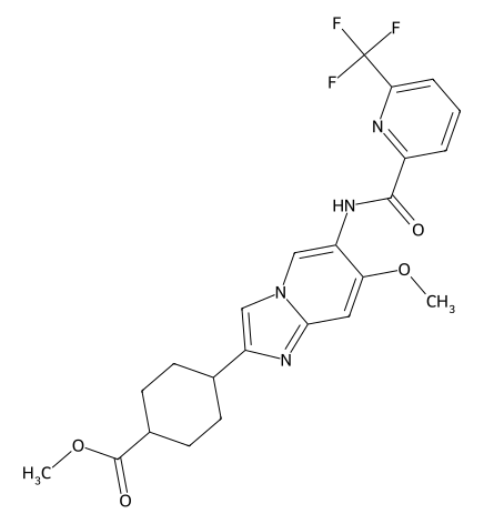 COC(=O)C1CCC(c2cn3cc(NC(=O)c4cccc(C(F)(F)F)n4)c(OC)cc3n2)CC1